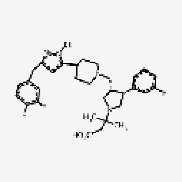 CCn1nc(Cc2ccc(F)c(F)c2)cc1C1CCN(C[C@H]2CN(C(C)(C)CC(=O)O)C[C@@H]2c2cccc(F)c2)CC1